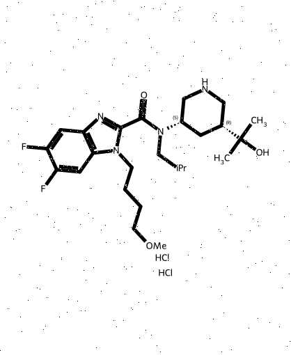 COCCCCn1c(C(=O)N(CC(C)C)[C@@H]2CNC[C@H](C(C)(C)O)C2)nc2cc(F)c(F)cc21.Cl.Cl